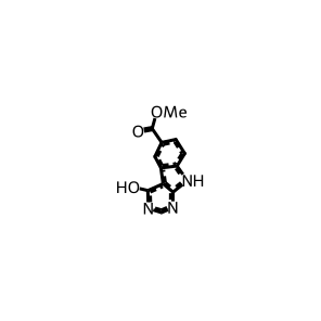 COC(=O)c1ccc2[nH]c3ncnc(O)c3c2c1